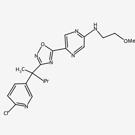 COCCNc1cnc(-c2nc(C(C)(c3ccc(Cl)nc3)C(C)C)no2)cn1